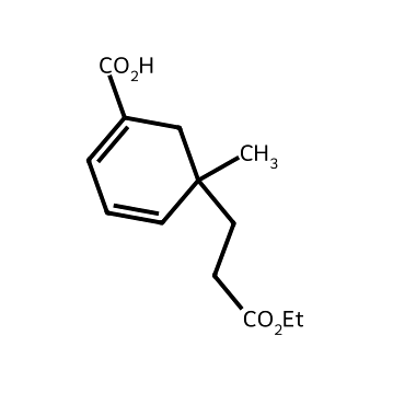 CCOC(=O)CCC1(C)C=CC=C(C(=O)O)C1